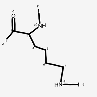 O=C(I)C(CCCCNI)NI